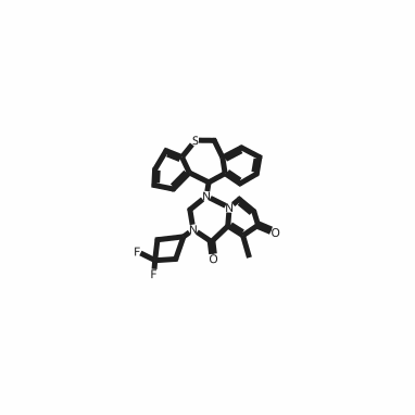 Cc1c2n(ccc1=O)N(C1c3ccccc3CSc3ccccc31)CN(C1CC(F)(F)C1)C2=O